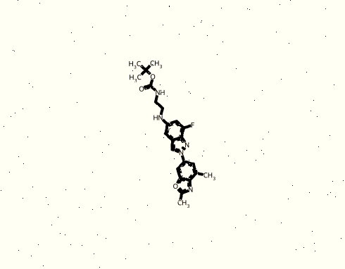 Cc1nc2c(C)cc(-n3cc4cc(NCCNC(=O)OC(C)(C)C)cc(F)c4n3)cc2o1